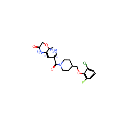 CC1OCC(=O)N/C1=C/C(=C\N)C(=O)N1CCC(COc2c(F)cccc2Cl)CC1